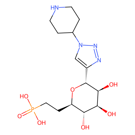 O=P(O)(O)CC[C@H]1O[C@H](c2cn(C3CCNCC3)nn2)[C@@H](O)[C@@H](O)[C@@H]1O